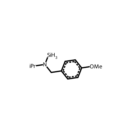 COc1ccc(CN([SiH3])C(C)C)cc1